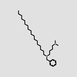 CCCCCCCCCCCCCCCCCCN(CC[CH]CN(C)C)Cc1ccccc1